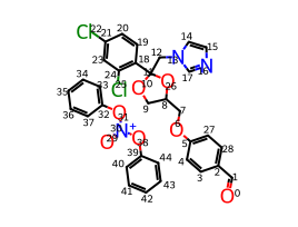 O=Cc1ccc(OCC2COC(Cn3ccnc3)(c3ccc(Cl)cc3Cl)O2)cc1.O=[N+](Oc1ccccc1)Oc1ccccc1